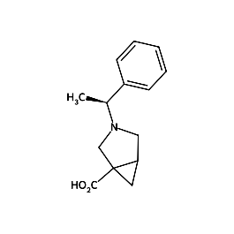 C[C@@H](c1ccccc1)N1CC2CC2(C(=O)O)C1